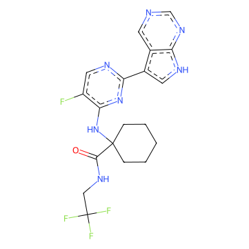 O=C(NCC(F)(F)F)C1(Nc2nc(-c3c[nH]c4ncncc34)ncc2F)CCCCC1